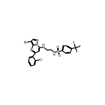 O=S(=O)(NCCNc1cc(-c2ccccc2Cl)nc2c(Br)cnn12)c1ccc(C(F)(F)F)cc1